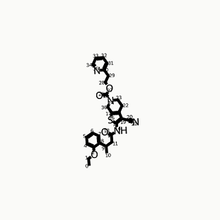 CCOc1ccccc1C(C)CC(=O)Nc1sc2c(c1C#N)CCN(C(=O)OCCc1ccccn1)C2